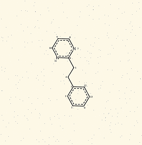 c1ccc(CCc2ncccn2)cc1